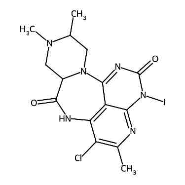 Cc1nc2c3c(nc(=O)n2I)N2CC(C)N(C)CC2C(=O)Nc3c1Cl